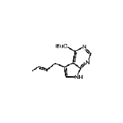 C/C=C/Cc1c[nH]c2ncnc(OCC(C)C)c12